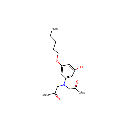 CCCCCCCCCCCCCCOc1cc(O)cc(N(CC(=O)OC)CC(=O)OC)c1